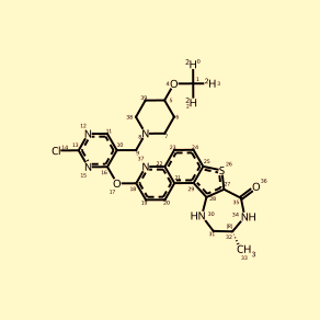 [2H]C([2H])([2H])OC1CCN(Cc2cnc(Cl)nc2Oc2ccc3c(ccc4sc5c(c43)NC[C@@H](C)NC5=O)n2)CC1